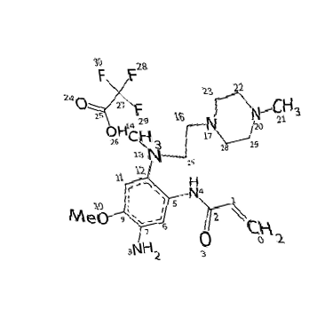 C=CC(=O)Nc1cc(N)c(OC)cc1N(C)CCN1CCN(C)CC1.O=C(O)C(F)(F)F